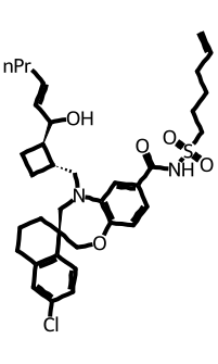 C=CCCCCS(=O)(=O)NC(=O)c1ccc2c(c1)N(C[C@@H]1CC[C@H]1C(O)C=CCCC)C[C@@]1(CCCc3cc(Cl)ccc31)CO2